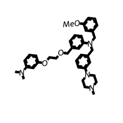 COc1cccc(CN(Cc2cccc(N3CCN(C)CC3)c2)c2cccc(COCCOc3cccc(N(C)C)c3)c2)c1